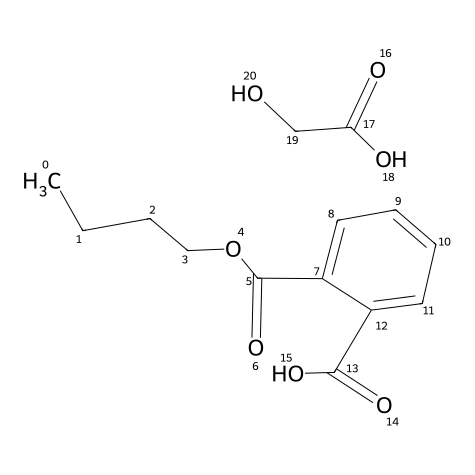 CCCCOC(=O)c1ccccc1C(=O)O.O=C(O)CO